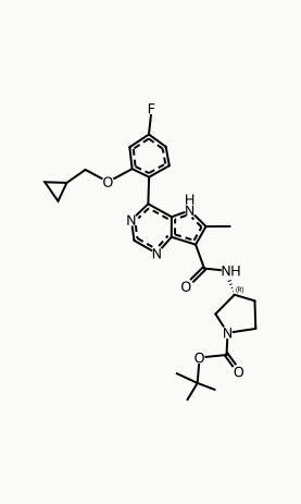 Cc1[nH]c2c(-c3ccc(F)cc3OCC3CC3)ncnc2c1C(=O)N[C@@H]1CCN(C(=O)OC(C)(C)C)C1